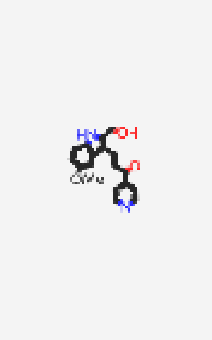 COc1ccc2[nH]c(CO)c(C=CC(=O)c3ccncc3)c2c1